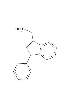 O=C(O)CC1CC(c2ccccc2)c2ccccc21